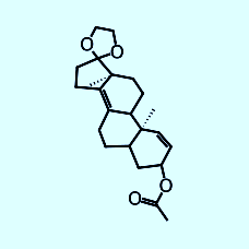 CC(=O)OC1C=C[C@@]2(C)C(CCC3=C4CCC5(OCCO5)[C@@]4(C)CCC32)C1